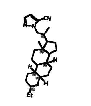 CC[C@H]1CC[C@@H]2C3CC[C@@]4(C)C(CCC4[C@H](C)Cn4nccc4C#N)[C@@H]3CC[C@@H]2C1